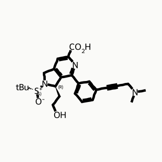 CN(C)CC#Cc1cccc(-c2nc(C(=O)O)cc3c2[C@@H](CCO)N([S@+]([O-])C(C)(C)C)C3)c1